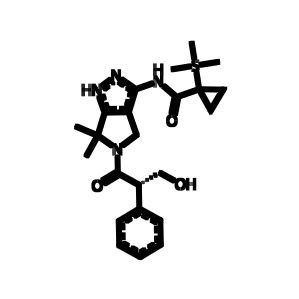 CC1(C)c2[nH]nc(NC(=O)C3(S(C)(C)C)CC3)c2CN1C(=O)[C@H](CO)c1ccccc1